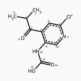 CC(C)C(=O)c1cc(Cl)ncc1NC(=O)O